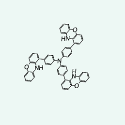 c1ccc2c(c1)Nc1c(cccc1-c1ccc(N(c3ccc(-c4cccc5c4Nc4ccccc4O5)cc3)c3ccc(-c4cccc5c4Nc4ccccc4O5)cc3)cc1)O2